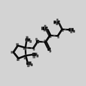 C=C(CC(C)C)C(=O)OCC1(C)CCCC1(C)C